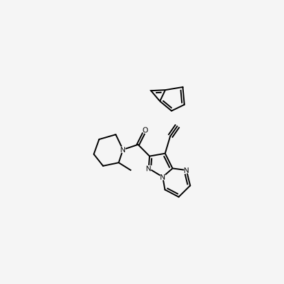 C#Cc1c(C(=O)N2CCCCC2C)nn2cccnc12.c1cc2cc-2c1